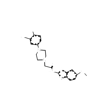 COc1ccc2nc(NC(=O)CN3CCN(c4ccc(Cl)c(Cl)c4)CC3)sc2c1